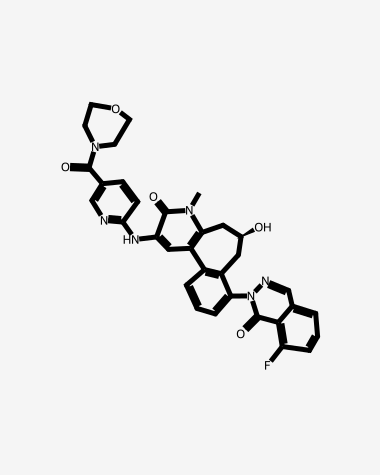 Cn1c2c(cc(Nc3ccc(C(=O)N4CCOCC4)cn3)c1=O)-c1cccc(-n3ncc4cccc(F)c4c3=O)c1C[C@H](O)C2